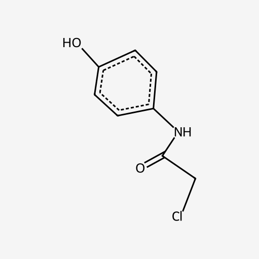 O=C(CCl)Nc1ccc(O)cc1